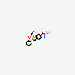 CCS(=O)(=O)N(Cc1ccc(C(=O)NN)cc1)c1ccccc1